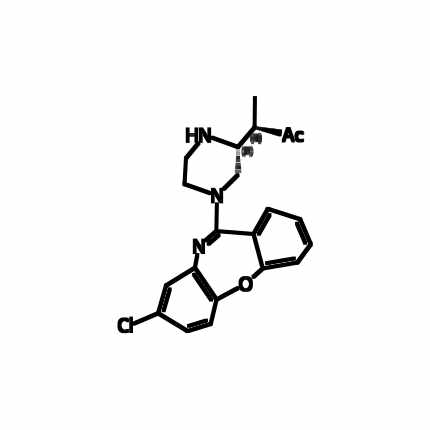 CC(=O)[C@H](C)[C@@H]1CN(C2=Nc3cc(Cl)ccc3Oc3ccccc32)CCN1